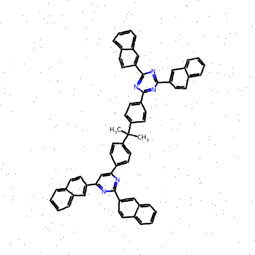 CC(C)(c1ccc(-c2cc(-c3ccc4ccccc4c3)nc(-c3ccc4ccccc4c3)n2)cc1)c1ccc(-c2nc(-c3ccc4ccccc4c3)nc(-c3ccc4ccccc4c3)n2)cc1